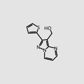 OCc1c(-c2cccs2)nn2cccnc12